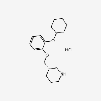 Cl.c1ccc(OC2CCCCC2)c(OC[C@H]2CCCNC2)c1